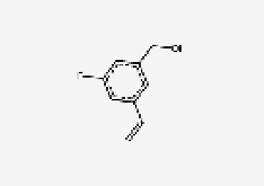 C=Cc1cc(F)cc(CO)c1